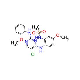 COc1ccc(Nc2nc(Nc3ccccc3OC)ncc2Cl)c(NS(C)(=O)=O)c1